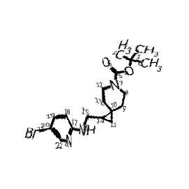 CC(C)(C)OC(=O)N1CCC2(CC1)CC2CNc1ccc(Br)cn1